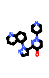 O=c1ccn(-c2ccncc2)nc1-c1ccnn1-c1cccc2ncccc12